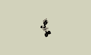 CC(C)(C)OC(=O)C(CCc1cc(F)c(C(F)(F)F)c(F)c1)NC(=O)OCC1c2ccccc2-c2ccccc21